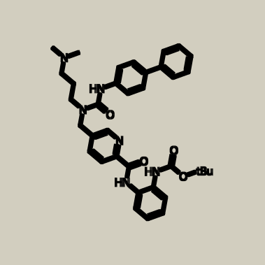 CN(C)CCCN(Cc1ccc(C(=O)Nc2ccccc2NC(=O)OC(C)(C)C)nc1)C(=O)Nc1ccc(-c2ccccc2)cc1